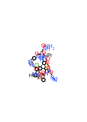 Cc1c(-c2c(-c3ccc(F)cc3)sc3ncnc(O[C@H](Cc4ccccc4OCc4ccnc(-c5ccccc5CO)n4)C(=O)O)c23)ccc(OCCN2CC[N+](C)(Cc3ccc(NC(=O)[C@H](CCCNC(N)=O)NC(=O)[C@@H](NC(=O)COCCOCCOCCN=[N+]=[N-])C(C)C)cc3)CC2)c1Cl